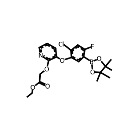 CCOC(=O)COc1ncccc1Oc1cc(B2OC(C)(C)C(C)(C)O2)c(F)cc1Cl